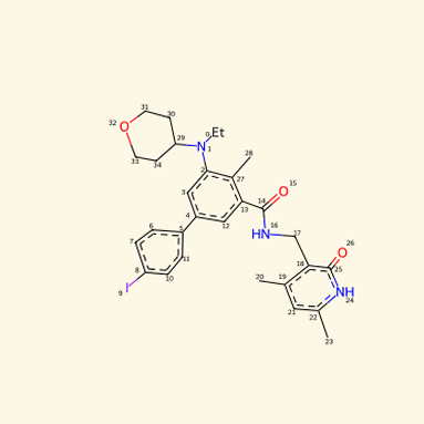 CCN(c1cc(-c2ccc(I)cc2)cc(C(=O)NCc2c(C)cc(C)[nH]c2=O)c1C)C1CCOCC1